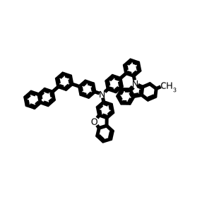 CC1C=Cc2c(n(-c3ccccc3-c3ccc(N(c4ccc(-c5cccc(-c6ccc7ccccc7c6)c5)cc4)c4ccc5c(c4)OC4C=CC=CC54)cc3)c3ccccc23)C1